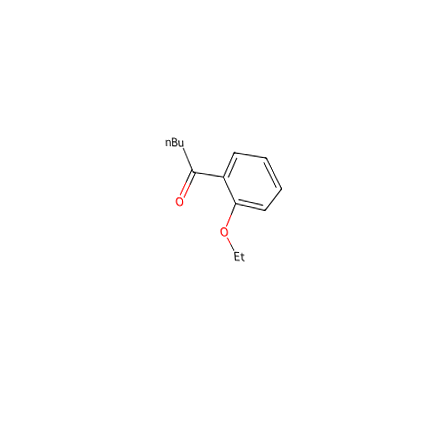 [CH2]CCCC(=O)c1ccccc1OCC